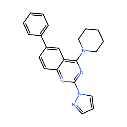 c1ccc(-c2ccc3nc(-n4cccn4)nc(N4CCCCC4)c3c2)cc1